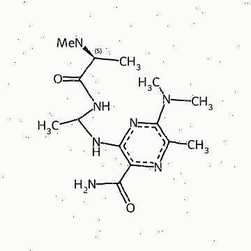 CN[C@@H](C)C(=O)NC(C)Nc1nc(N(C)C)c(C)nc1C(N)=O